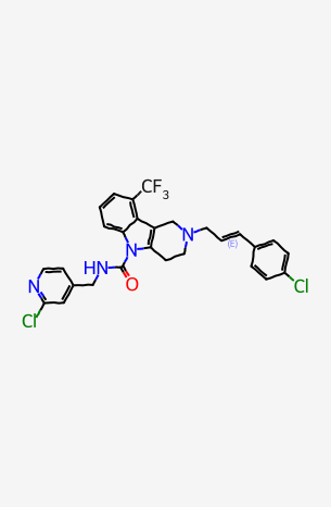 O=C(NCc1ccnc(Cl)c1)n1c2c(c3c(C(F)(F)F)cccc31)CN(C/C=C/c1ccc(Cl)cc1)CC2